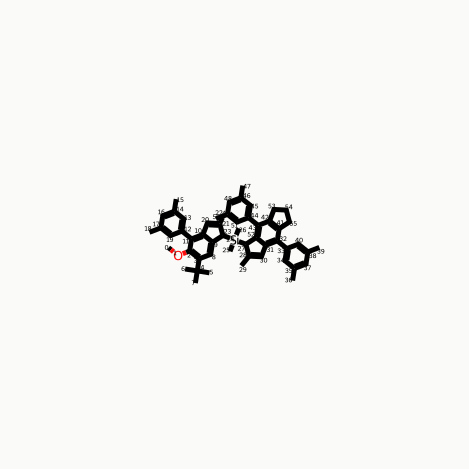 COc1c(C(C)(C)C)cc2c(c1-c1cc(C)cc(C)c1)C=C(C)C2[Si](C)(C)C1C(C)=Cc2c(-c3cc(C)cc(C)c3)c3c(c(-c4cc(C)cc(C)c4)c21)CCC3